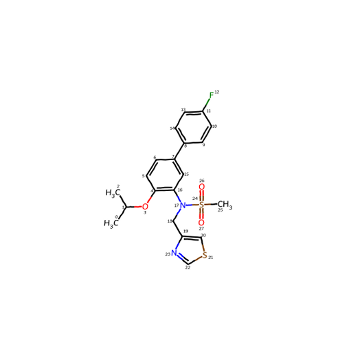 CC(C)Oc1ccc(-c2ccc(F)cc2)cc1N(Cc1cscn1)S(C)(=O)=O